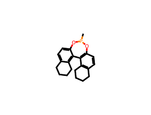 Cp1oc2ccc3c(c2c2c4c(ccc2o1)CCCC4)CCCC3